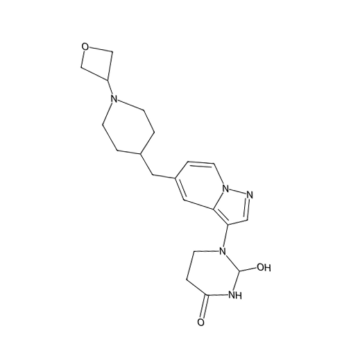 O=C1CCN(c2cnn3ccc(CC4CCN(C5COC5)CC4)cc23)C(O)N1